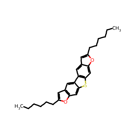 CCCCCCc1cc2cc3c(cc2o1)sc1cc2oc(CCCCCC)cc2cc13